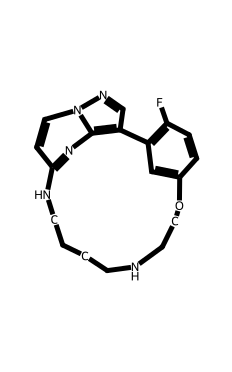 Fc1ccc2cc1-c1cnn3ccc(nc13)NCCCCNCCO2